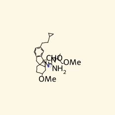 COCC(C)N(C)/C(N)=N\[C@]1(C=O)c2cc(CCC3CC3)ccc2CC12CCC(OC)CC2